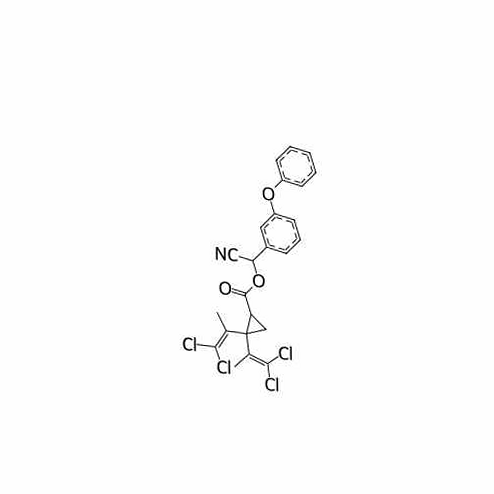 CC(=C(Cl)Cl)C1(C(C)=C(Cl)Cl)CC1C(=O)OC(C#N)c1cccc(Oc2ccccc2)c1